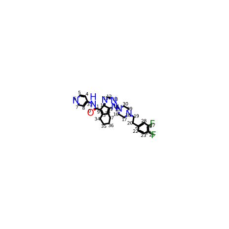 O=C(Nc1ccncc1)c1c2ncnn(N3CCN(CCc4ccc(F)c(F)c4)CC3)c-2c2c1CCCC2